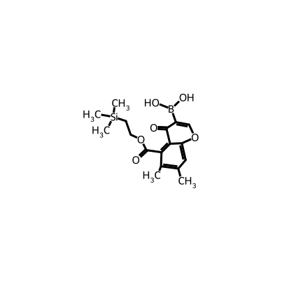 Cc1cc2occ(B(O)O)c(=O)c2c(C(=O)OCC[Si](C)(C)C)c1C